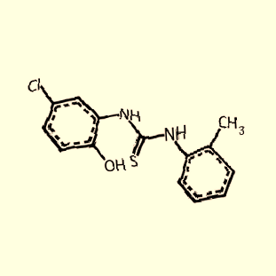 Cc1ccccc1NC(=S)Nc1cc(Cl)ccc1O